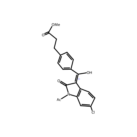 COC(=O)CCc1ccc(/C(O)=C2\C(=O)N(C(C)=O)c3cc(Cl)ccc32)cc1